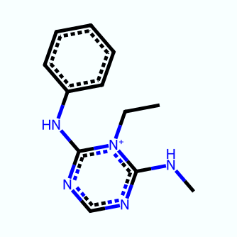 CC[n+]1c(NC)ncnc1Nc1ccccc1